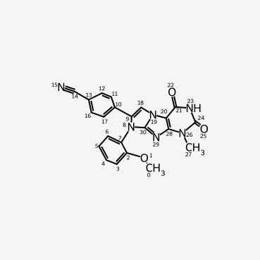 COc1ccccc1-n1c(-c2ccc(C#N)cc2)cn2c3c(=O)[nH]c(=O)n(C)c3nc12